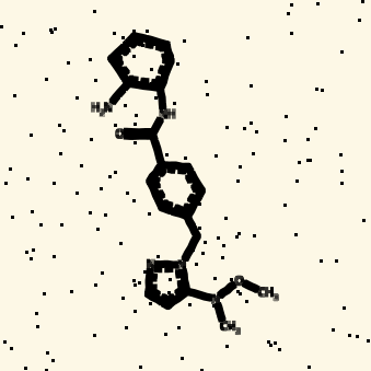 CON(C)c1ccnn1Cc1ccc(C(=O)Nc2ccccc2N)cc1